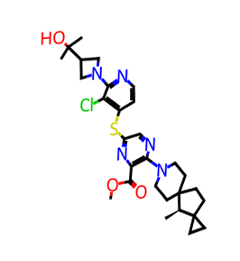 COC(=O)c1nc(Sc2ccnc(N3CC(C(C)(C)O)C3)c2Cl)cnc1N1CCC2(CC1)CCC1(CC1)[C@H]2C